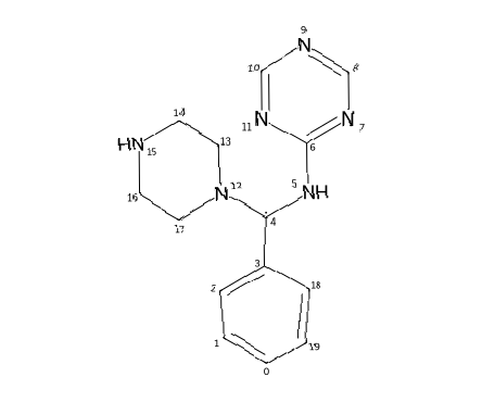 c1ccc([C](Nc2ncncn2)N2CCNCC2)cc1